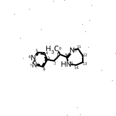 CC(Cc1ccnnc1)C1=NCCCCN1